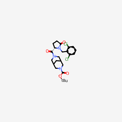 CC(C)(C)OC(=O)N1CC2CC(C1)CN(C(=O)[C@@H]1CCC(=O)N1Cc1c(Cl)cccc1Cl)C2